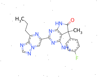 CCCc1nc(-c2nc(N)c3c(n2)NC(=O)C3(C)c2ccc(F)cc2)cn2ncnc12